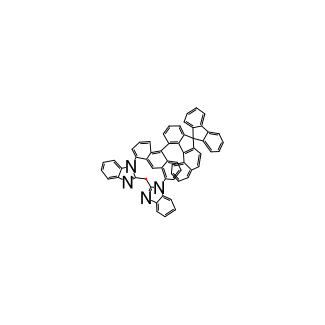 Cc1nc2ccccc2n1-c1cccc2c(-c3cccc4c3-c3c(ccc5ccccc35)C43c4ccccc4-c4ccccc43)c3cccc(-n4c(C)nc5ccccc54)c3cc12